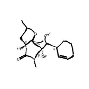 CC1C[C@H]2C(=O)N(C)[C@](C)(C(O)[C@@H]3C=CCCC3)[C@@]2(C)O1